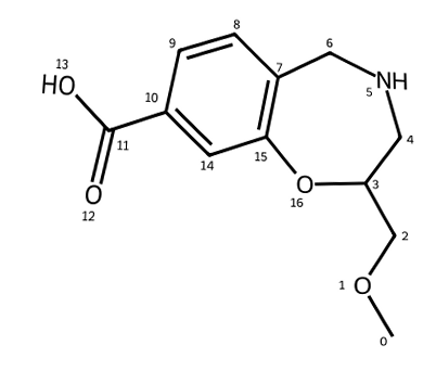 COCC1CNCc2ccc(C(=O)O)cc2O1